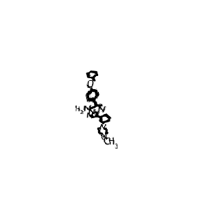 CN1CCN(c2cccc(-c3cnn4c(N)c(-c5ccc(OCc6ccccc6)cc5)cnc34)c2)CC1